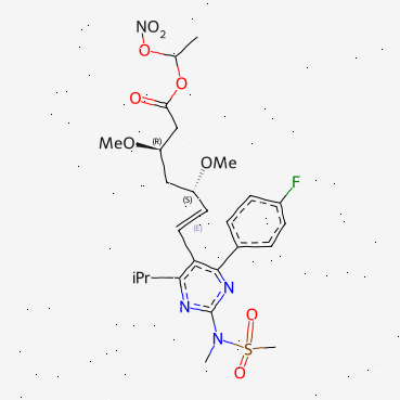 CO[C@@H](CC(=O)OC(C)O[N+](=O)[O-])C[C@@H](/C=C/c1c(-c2ccc(F)cc2)nc(N(C)S(C)(=O)=O)nc1C(C)C)OC